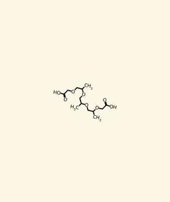 CC(COCC(=O)O)OCC(C)OCC(C)OCC(=O)O